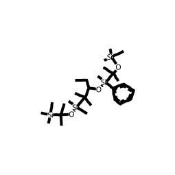 CCC(O[Si](C)(c1ccccc1)C(C)(C)O[Si](C)(C)C)C(C)(C)[Si](C)(C)OC(C)(C)[Si](C)(C)C